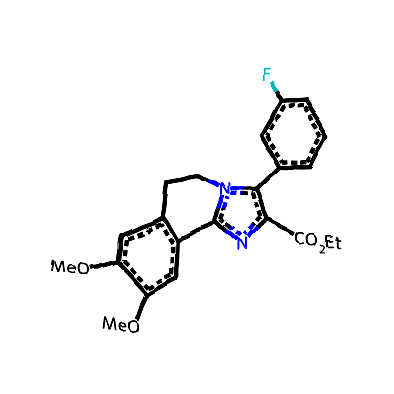 CCOC(=O)c1nc2n(c1-c1cccc(F)c1)CCc1cc(OC)c(OC)cc1-2